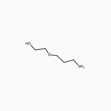 OCCOCCC[SiH2]